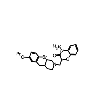 CC(C)Oc1ccc(Br)c(CC2CCN(CC3Oc4ccccc4N(C)C3=O)CC2)c1